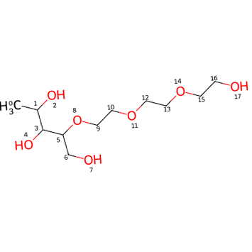 CC(O)C(O)C(CO)OCCOCCOCCO